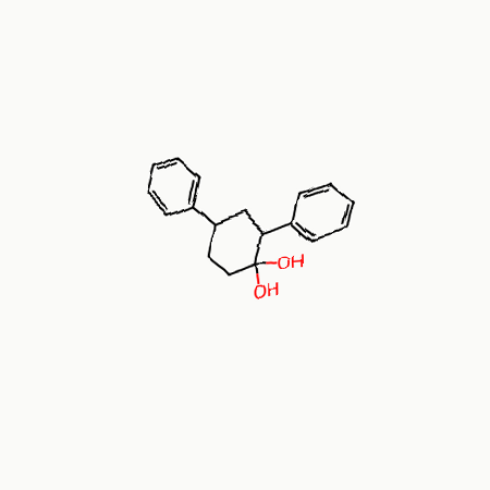 OC1(O)CCC(c2ccccc2)CC1c1ccccc1